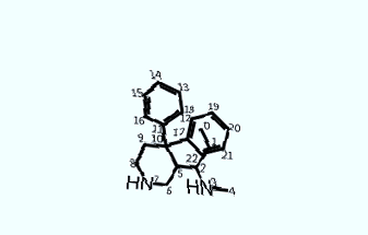 CCC(NC)C1CNCCC1(c1ccccc1)c1ccccc1